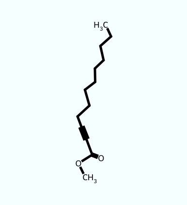 CCCCCCCCCC#CC(=O)OC